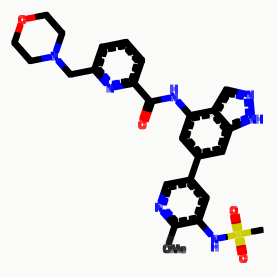 COc1ncc(-c2cc(NC(=O)c3cccc(CN4CCOCC4)n3)c3cn[nH]c3c2)cc1NS(C)(=O)=O